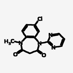 CN1C(=O)CC(=O)N(c2ncccn2)c2cc(Cl)ccc21